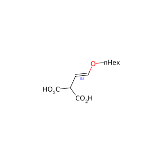 CCCCCCO/C=C/C(C(=O)O)C(=O)O